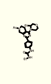 CCNC(=O)Nc1ccc(-c2nc3c(c(N4CCOCC4CC)n2)CCN(C(C)=O)C3)cc1